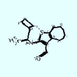 C=C(Nc1sc2c(c1C=O)CCCC2)C1CCC1